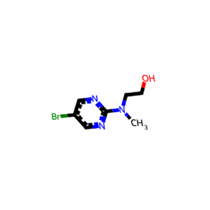 CN(CCO)c1ncc(Br)cn1